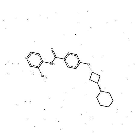 Nc1cnccc1NC(=O)c1ccc(O[C@H]2C[C@H](N3CCCCC3)C2)cc1